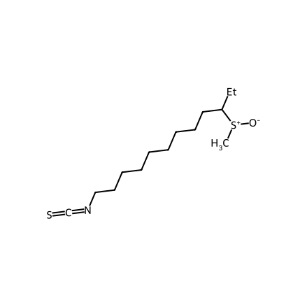 CCC(CCCCCCCCCN=C=S)[S+](C)[O-]